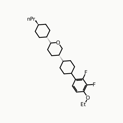 CCC[C@H]1CC[C@H](C2CC[C@@H](C3CCC(c4ccc(OCC)c(F)c4F)CC3)CO2)CC1